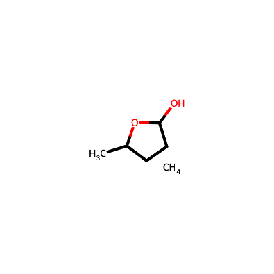 C.CC1CCC(O)O1